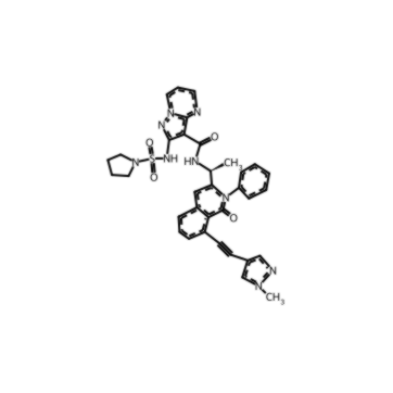 C[C@H](NC(=O)c1c(NS(=O)(=O)N2CCCC2)nn2cccnc12)c1cc2cccc(C#Cc3cnn(C)c3)c2c(=O)n1-c1ccccc1